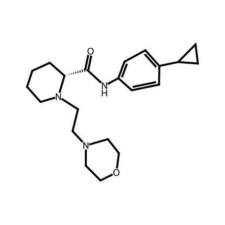 O=C(Nc1ccc(C2CC2)cc1)[C@H]1CCCCN1CCN1CCOCC1